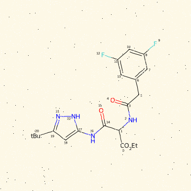 CCOC(=O)C(NC(=O)Cc1cc(F)cc(F)c1)C(=O)Nc1cc(C(C)(C)C)n[nH]1